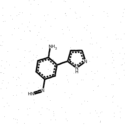 N=Nc1ccc(N)c(-c2ccn[nH]2)c1